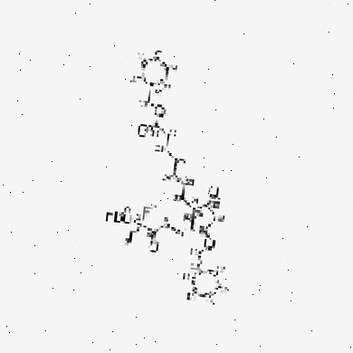 CCCCC(F)(F)C(=O)C=C[C@H]1[C@H](OCc2ccccc2)CC(=O)[C@@H]1CC=CCCCC(=O)OCc1ccccc1